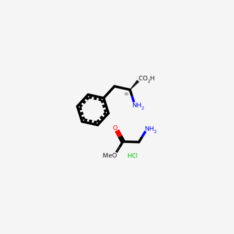 COC(=O)CN.Cl.N[C@@H](Cc1ccccc1)C(=O)O